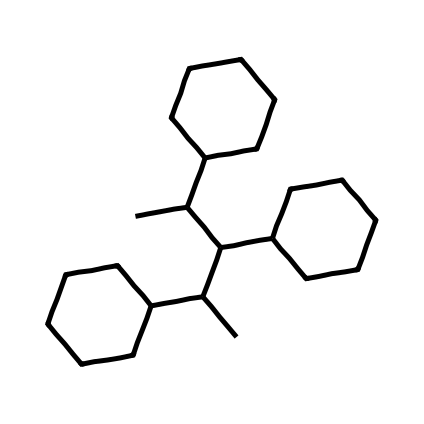 CC(C1CCCCC1)C(C1CCCCC1)C(C)C1CCCCC1